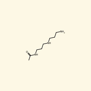 CC(=O)NCCCNCCCN